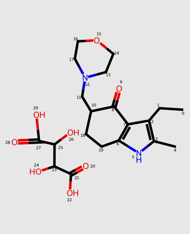 CCc1c(C)[nH]c2c1C(=O)C(CN1CCOCC1)CC2.O=C(O)C(O)C(O)C(=O)O